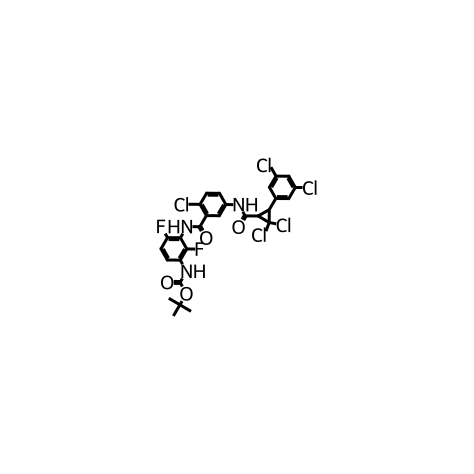 CC(C)(C)OC(=O)Nc1ccc(F)c(NC(=O)c2cc(NC(=O)C3C(c4cc(Cl)cc(Cl)c4)C3(Cl)Cl)ccc2Cl)c1F